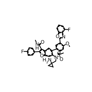 CNC(=O)c1c(-c2ccc(F)cc2)oc2cc(N(CC3(N)CC3)S(C)(=O)=O)c(-c3ccc(OC)c(-c4nc5c(F)cccc5o4)c3)cc12